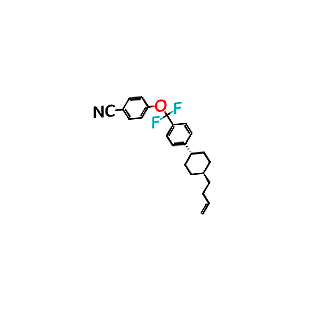 C=CCC[C@H]1CC[C@H](c2ccc(C(F)(F)Oc3ccc(C#N)cc3)cc2)CC1